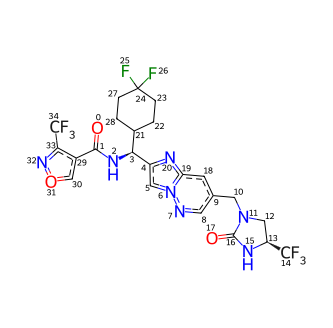 O=C(N[C@H](c1cn2ncc(CN3C[C@@H](C(F)(F)F)NC3=O)cc2n1)C1CCC(F)(F)CC1)c1conc1C(F)(F)F